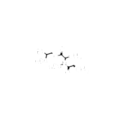 C=CC(=O)N(CCCC)C(C)C(=O)OCC(CC)CCCC